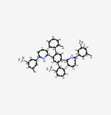 Cc1cc(-c2cccc(-c3cc(-c4ccccc4C(F)(F)F)c(-c4cccc(-c5cc(C)cc(C(F)(F)F)c5)n4)cc3-c3ccccc3C)n2)cc(C(F)(F)F)c1